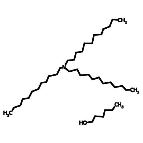 CCCCCCCCCCCCN(CCCCCCCCCCCC)CCCCCCCCCCCC.CCCCCCO